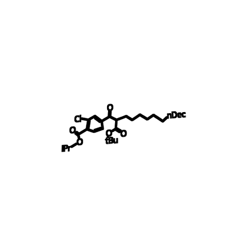 CCCCCCCCCCCCCCCCC(C(=O)OC(C)(C)C)C(=O)c1ccc(C(=O)OC(C)C)c(Cl)c1